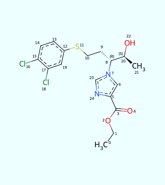 CCOC(=O)c1cn([C@H](CCSc2ccc(Cl)c(Cl)c2)[C@H](C)O)cn1